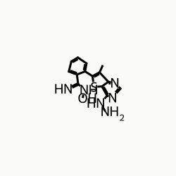 Cc1c(-c2ccccc2C(=N)NO)sc2c(NN)ncnc12